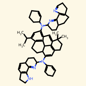 CC(C)c1cc(N(C2C=CCCC2)C2CCC3CCC4=C(N=CCC4)C3=N2)c2c3c1CCC1C(N(C4=CCCC=C4)C4CCC5C=CC6=C(NCC6)C5=N4)=CC4=C(C(=C2)C(C)(C)CC4)C31